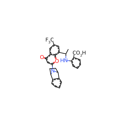 CC(Nc1ccccc1C(=O)O)c1cc(C(F)(F)F)cc2c(=O)cc(N3C4CCC3c3ccccc34)oc12